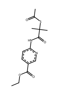 CCOC(=O)c1ccc(NC(=O)C(C)(C)SC(C)=O)nc1